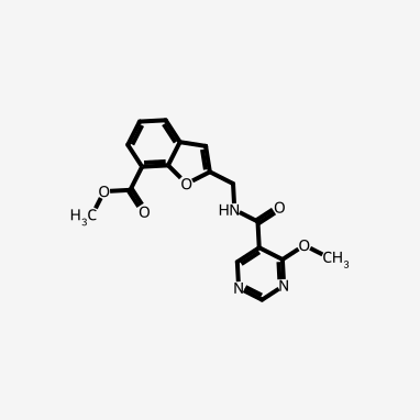 COC(=O)c1cccc2cc(CNC(=O)c3cncnc3OC)oc12